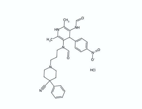 CC1=C(NC=O)C(c2ccc([N+](=O)[O-])cc2)C(N(C=O)CCCN2CCC(C#N)(c3ccccc3)CC2)=C(C)N1.Cl